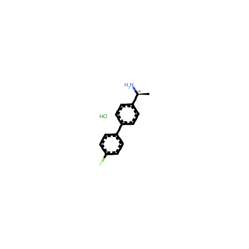 C[C@H](N)c1ccc(-c2ccc(F)cc2)cc1.Cl